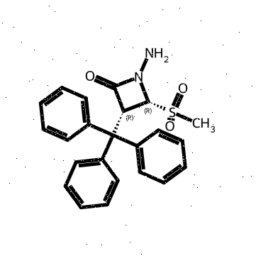 CS(=O)(=O)[C@@H]1[C@H](C(c2ccccc2)(c2ccccc2)c2ccccc2)C(=O)N1N